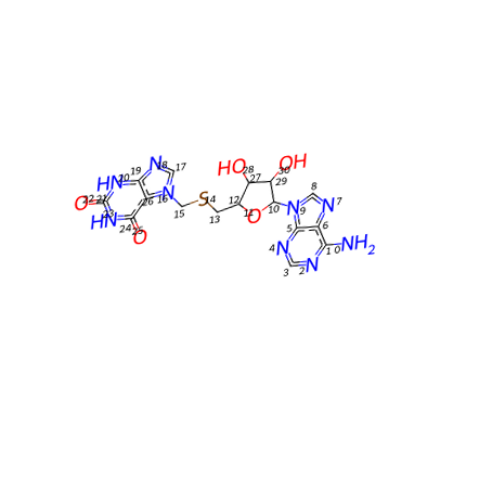 Nc1ncnc2c1ncn2C1OC(CSCn2cnc3[nH]c(=O)[nH]c(=O)c32)C(O)C1O